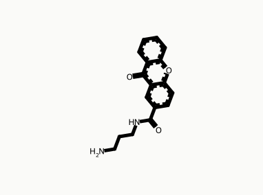 NCCCNC(=O)c1ccc2oc3ccccc3c(=O)c2c1